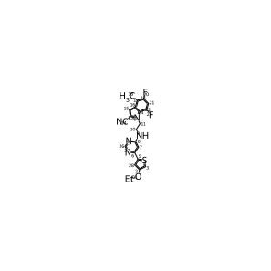 CCOc1csc(-c2cc(NCCn3c(C#N)cc4c(C)c(F)cc(F)c43)ncn2)c1